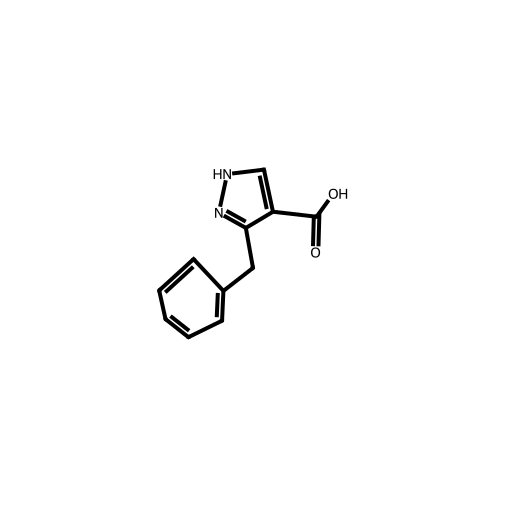 O=C(O)c1c[nH]nc1Cc1ccccc1